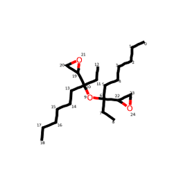 CCCCCCC(CC)(OC(CC)(CCCCCC)C1CO1)C1CO1